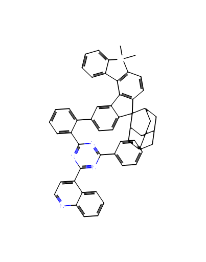 C[Si]1(C)c2ccccc2-c2c1ccc1c2-c2cc(-c3ccccc3-c3nc(-c4ccccc4)nc(-c4ccnc5ccccc45)n3)ccc2C12C1CC3CC(C1)CC2C3